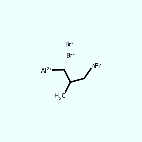 CCCCC(C)[CH2][Al+2].[Br-].[Br-]